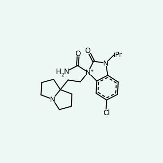 CC(C)N1C(=O)[N+](CCC23CCCN2CCC3)(C(N)=O)c2cc(Cl)ccc21